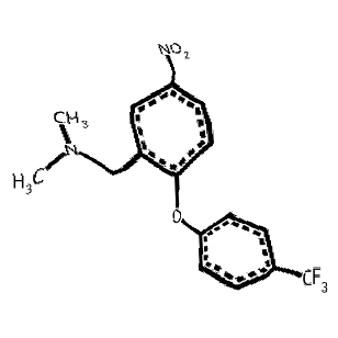 CN(C)Cc1cc([N+](=O)[O-])ccc1Oc1ccc(C(F)(F)F)cc1